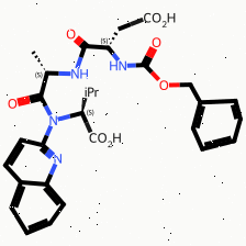 CC(C)[C@@H](C(=O)O)N(C(=O)[C@H](C)NC(=O)[C@H](CC(=O)O)NC(=O)OCc1ccccc1)c1ccc2ccccc2n1